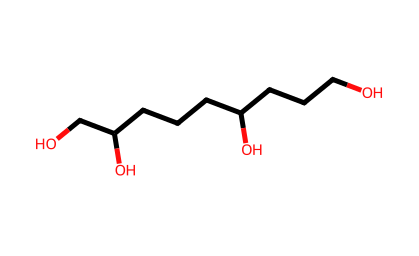 OCCCC(O)CCCC(O)CO